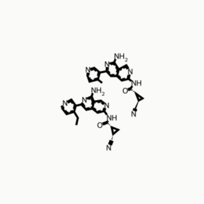 CCc1ccncc1-c1cc2cc(NC(=O)[C@@H]3C[C@@H]3C#N)ncc2c(N)n1.Cc1ccncc1-c1cc2cc(NC(=O)[C@@H]3C[C@H]3C#N)ncc2c(N)n1